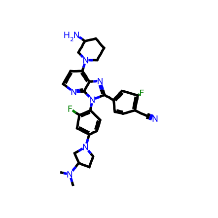 CN(C)C1CCN(c2ccc(-n3c(-c4ccc(C#N)c(F)c4)nc4c(N5CCCC(N)C5)ccnc43)c(F)c2)C1